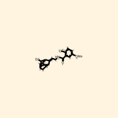 CCC1C2/C(=C/CNC(=O)c3cc(OC)ccc3Cl)C3C4CC(CC42)C13